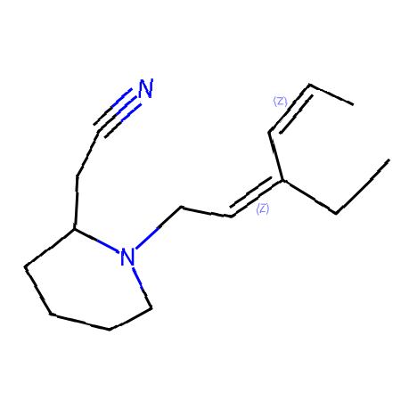 C/C=C\C(=C/CN1CCCCC1CC#N)CC